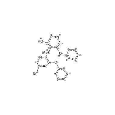 Brc1cncc(Oc2ccccc2)c1.CSc1c(O)cncc1Oc1ccccc1